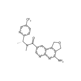 C[C@H](c1ccc(C(F)(F)F)cn1)N(C)C(=O)c1cnc2nc(N)c3c(c2c1)COC3